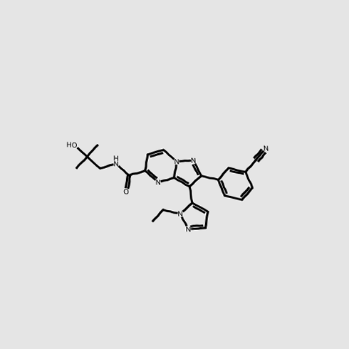 CCn1nccc1-c1c(-c2cccc(C#N)c2)nn2ccc(C(=O)NCC(C)(C)O)nc12